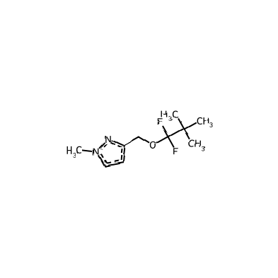 Cn1ccc(COC(F)(F)C(C)(C)C)n1